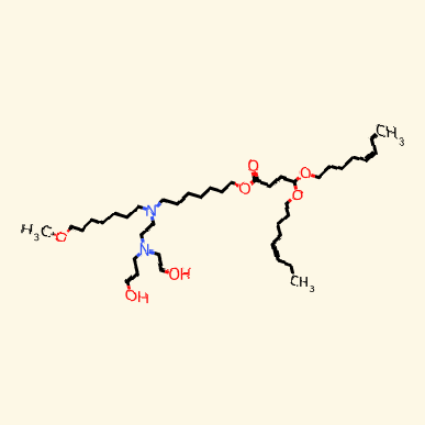 CC/C=C\CCCCOC(CCC(=O)OCCCCCCCN(CCCCCCCOC)CCN(CCO)CCCO)OCCCC/C=C\CC